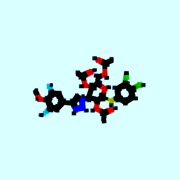 COc1c(F)cc(-c2cn(C3C(OC(C)=O)[C@@H](Sc4ccc(Cl)c(Cl)c4)OC(COC(C)=O)[C@@H]3OC(C)=O)nn2)cc1F